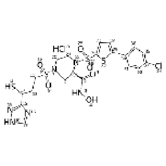 Cl.O=C(NO)[C@H]1CN(S(=O)(=O)CCC(S)c2nc[nH]n2)CCN1S(=O)(=O)c1ccc(-c2ccc(Cl)cc2)s1